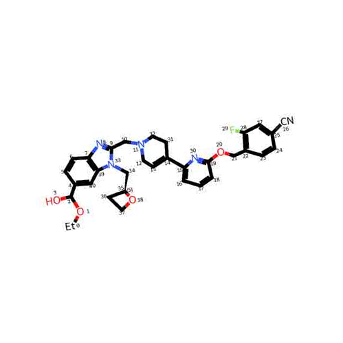 CCOC(O)c1ccc2nc(CN3CC=C(c4cccc(OCc5ccc(C#N)cc5F)n4)CC3)n(C[C@@H]3CCO3)c2c1